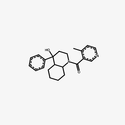 Cc1ccncc1C(=O)N1CCC(O)(c2ccccc2)C2CCCCC21